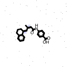 CC(=C/C(=O)Nc1ccc(C(=O)O)cc1)/C=C1\CCCc2ccccc21